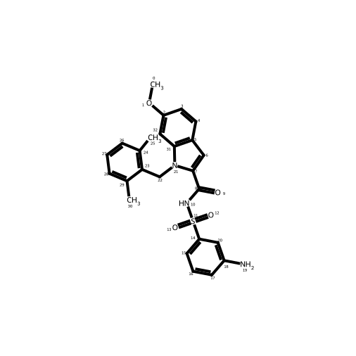 COc1ccc2cc(C(=O)NS(=O)(=O)c3cccc(N)c3)n(Cc3c(C)cccc3C)c2c1